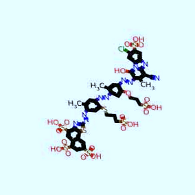 Cc1cc(N=Nc2cc(OCCCS(=O)(=O)O)c(N=Nc3c(C)c(C#N)c4nc5cc(S(=O)(=O)O)c(Cl)cc5n4c3O)cc2C)c(SCCCS(=O)(=O)O)cc1N=Nc1nc2c(S(=O)(=O)O)cc3c(S(=O)(=O)O)cc(S(=O)(=O)O)cc3c2s1